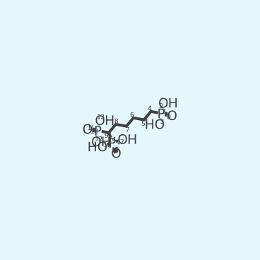 O=P(O)(O)CCCCCC(P(=O)(O)O)P(=O)(O)O